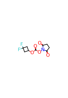 O=C(OC1CC(F)(F)C1)ON1C(=O)CCC1=O